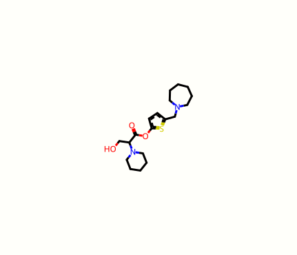 O=C(Oc1ccc(CN2CCCCCC2)s1)C(CO)N1CCCCC1